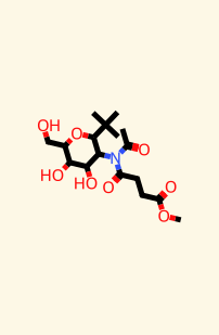 COC(=O)CCC(=O)N(C(C)=O)C1C(O)C(O)C(CO)OC1C(C)(C)C